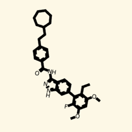 CCc1c(OC)cc(OC)c(F)c1-c1ccc2c(NC(=O)c3ccc(CCC4CCCCCC4)cc3)n[nH]c2c1